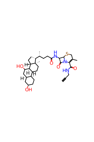 C#CCNC(=O)C1=C(C)CSC2C(NC(=O)CC[C@@H](C)[C@H]3CC[C@H]4[C@@H]5C(O)C[C@@H]6C[C@H](O)CC[C@]6(C)[C@H]5CC[C@]34C)C(=O)N12